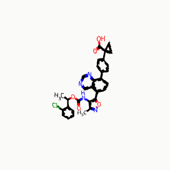 Cc1noc(-c2ccc(-c3ccc(C4(C(=O)O)CC4)cc3)c3ncncc23)c1NC(=O)OC(C)c1ccccc1Cl